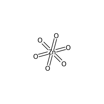 [O]=[Zn](=[O])(=[O])(=[O])(=[O])=[O]